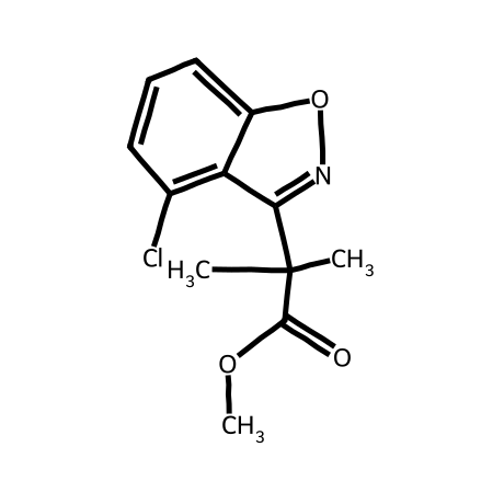 COC(=O)C(C)(C)c1noc2cccc(Cl)c12